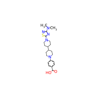 CN(C)c1nsc(N2CCC(C3CCN(c4ccc(C(=O)O)cc4)CC3)CC2)n1